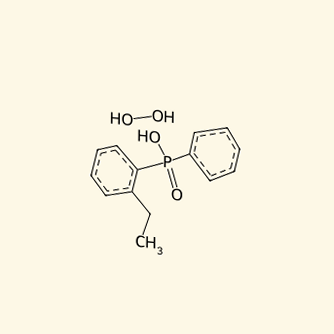 CCc1ccccc1P(=O)(O)c1ccccc1.OO